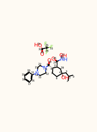 CC(C)C[C@@]1(O)CC[C@H](C(=O)N2CCN(c3ccccc3)CC2)[C@@H](C(=O)NO)C1.O=C(O)C(F)(F)F